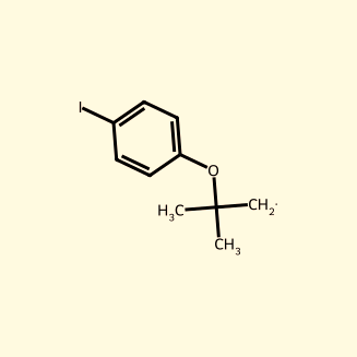 [CH2]C(C)(C)Oc1ccc(I)cc1